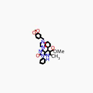 COC(=O)C1=C(C)Nc2c(c(N3CCN(Cc4ccc5c(c4)OCO5)CC3)nc(=O)n2-c2ccccc2)C1C1C=CC=CC1